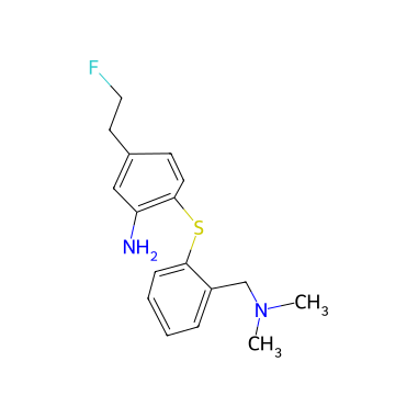 CN(C)Cc1ccccc1Sc1ccc(CCF)cc1N